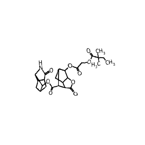 CCC(C)(C)C(=O)OCC(=O)OC1C2CC3C1OC(=O)C3C2C(=O)OC1C2CC3C(=O)NC1C3C2